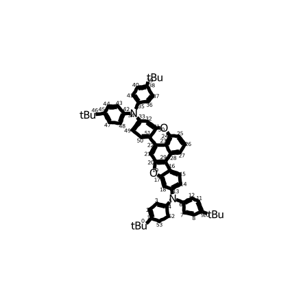 CC(C)(C)C1=CC=C(N(c2ccc(C(C)(C)C)cc2)c2ccc3c(c2)oc2cc4c5c(cccc5c23)Oc2cc(N(c3ccc(C(C)(C)C)cc3)c3ccc(C(C)(C)C)cc3)ccc2-4)CC1